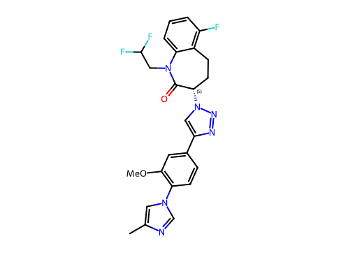 COc1cc(-c2cn([C@H]3CCc4c(F)cccc4N(CC(F)F)C3=O)nn2)ccc1-n1cnc(C)c1